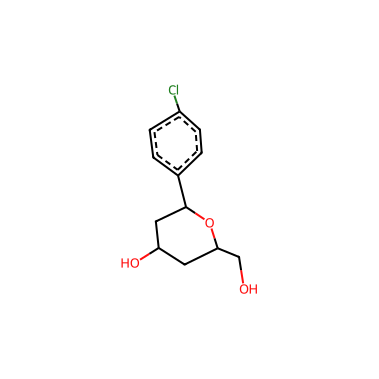 OCC1CC(O)CC(c2ccc(Cl)cc2)O1